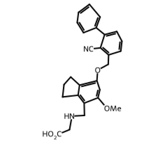 COc1cc(OCc2cccc(-c3ccccc3)c2C#N)c2c(c1CNCC(=O)O)CCC2